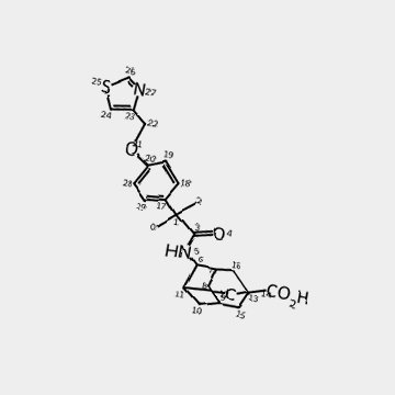 CC(C)(C(=O)NC1C2CC3CC1CC(C(=O)O)(C3)C2)c1ccc(OCc2cscn2)cc1